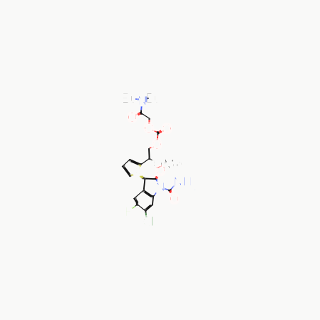 CCN(CC)C(=O)COC(=O)OCC(OC)C1=CC=CS1=C1C(=O)N(C(N)=O)c2cc(Cl)c(F)cc21